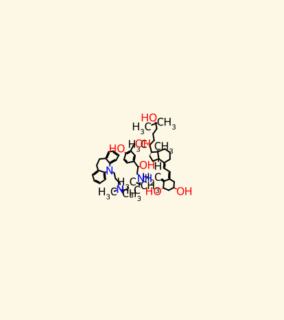 C=C1/C(=C\C=C2/CCC[C@]3(C)[C@@H]([C@H](C)CCCC(C)(C)O)CC[C@@H]23)C[C@@H](O)C[C@@H]1O.CC(C)(C)NCC(O)c1ccc(O)c(CO)c1.CN(C)CCCN1c2ccccc2CCc2ccccc21